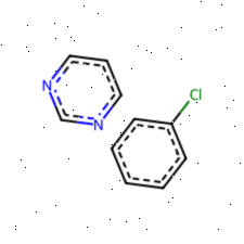 Clc1ccccc1.c1cncnc1